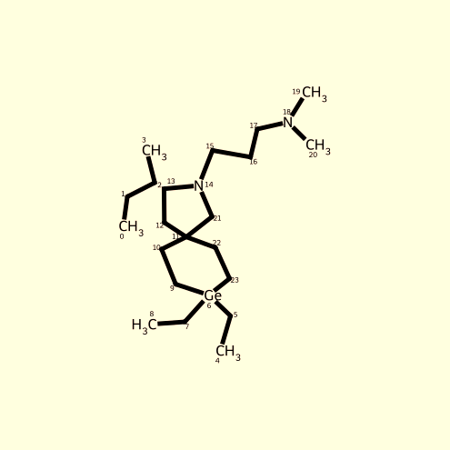 CCCC.C[CH2][Ge]1([CH2]C)[CH2]CC2(CCN(CCCN(C)C)C2)C[CH2]1